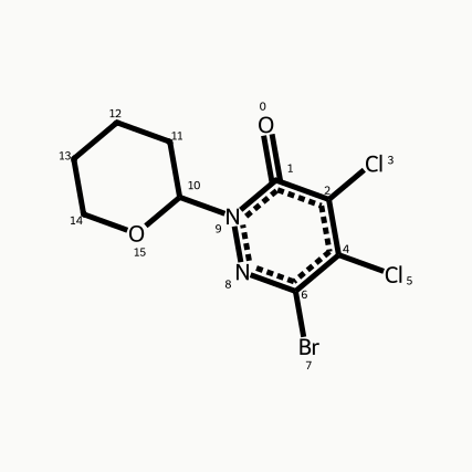 O=c1c(Cl)c(Cl)c(Br)nn1C1CCCCO1